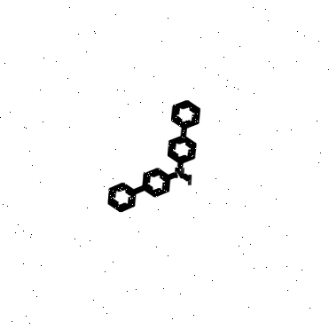 IN(c1ccc(-c2ccccc2)cc1)c1ccc(-c2ccccc2)cc1